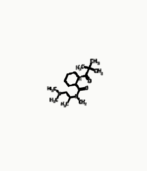 CC(CN(C)C)N(C)C(=O)C1CCCC[C@H]1C(=O)C(C)(C)C